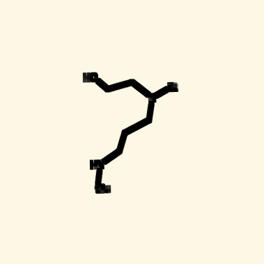 CCN(CCO)CCCNC(C)(C)C